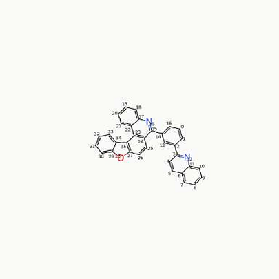 c1cc(-c2ccc3ccccc3n2)cc(-c2nc3ccccc3c3c2ccc2oc4ccccc4c23)c1